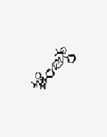 CC(C)C(=O)C(c1ccccc1)N1CCN(c2ccc(-n3cnn(C(C)C)c3=O)cc2)CC1